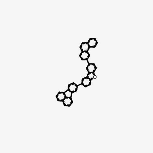 c1cc2c3c(cccc3c1)-c1cc(-c3ccc4oc5ccc(-c6ccc7ccc8ccccc8c7c6)cc5c4c3)ccc1-2